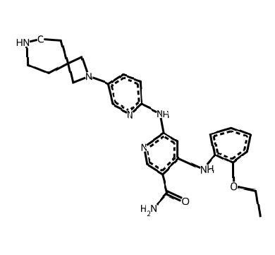 CCOc1ccccc1Nc1cc(Nc2ccc(N3CC4(CCNCC4)C3)cn2)ncc1C(N)=O